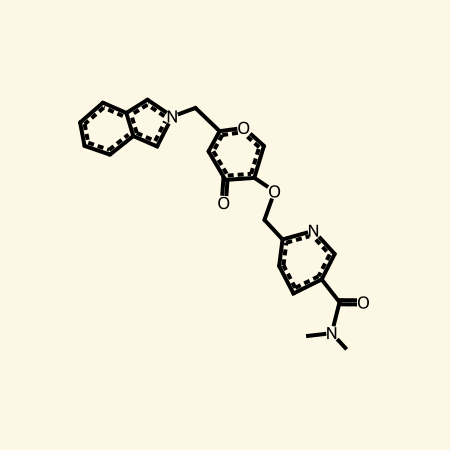 CN(C)C(=O)c1ccc(COc2coc(Cn3cc4ccccc4c3)cc2=O)nc1